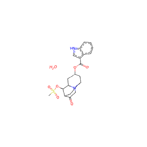 CS(=O)(=O)OC1C2CC3CC(OC(=O)c4c[nH]c5ccccc45)CC1N3CC2=O.O